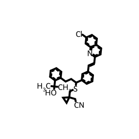 CC(C)(O)c1ccccc1CCC(SCC1(CC#N)CC1)c1cccc(C=Cc2ccc3ccc(Cl)cc3n2)c1